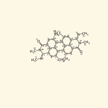 C/N=C1/c2cc(C)c3c4c(C)cc5c6c(cc(C)c(c7c(C)cc(c2c73)C(=O)N1C)c64)/C(=N/C)N(C)C5=O